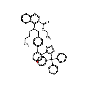 CCCCN(Cc1ccc(-c2ccccc2-c2nnnn2C(c2ccccc2)(c2ccccc2)c2ccccc2)cc1)c1c(C(=O)OCC)cnc2ccccc12